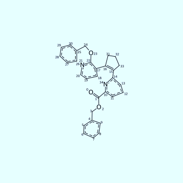 O=C(OCc1ccccc1)c1cccc(C2=C(c3cccnc3OCc3ccccc3)CCC2)n1